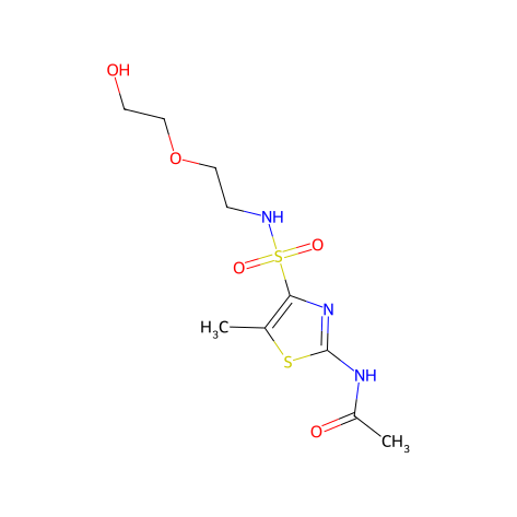 CC(=O)Nc1nc(S(=O)(=O)NCCOCCO)c(C)s1